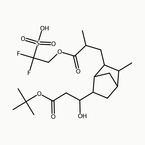 CC(CC1C(C)C2CC(C(O)CC(=O)OC(C)(C)C)C1C2)C(=O)OCC(F)(F)S(=O)(=O)O